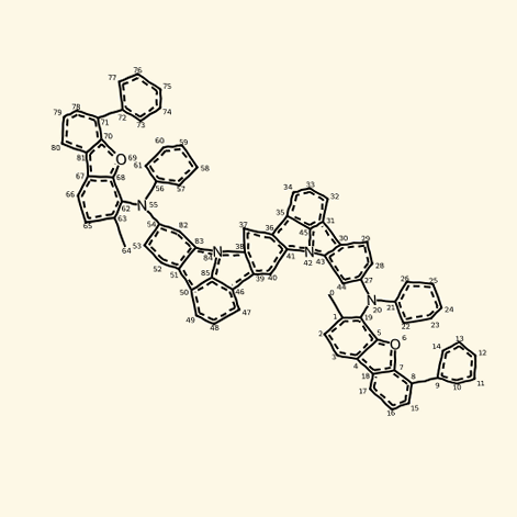 Cc1ccc2c(oc3c(-c4ccccc4)cccc32)c1N(c1ccccc1)c1ccc2c3cccc4c5cc6c(cc5n(c2c1)c34)c1cccc2c3ccc(N(c4ccccc4)c4c(C)ccc5c4oc4c(-c7ccccc7)cccc45)cc3n6c21